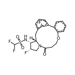 O=C1CCOc2ccccc2-c2cccc(c2F)C[C@H]2[C@@H](NS(=O)(=O)C(F)F)[C@@H](F)CN12